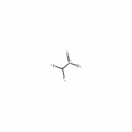 [O]S(=O)C(F)F